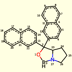 B1OC(c2ccc3ccccc3c2)(c2ccc3ccccc3c2)C2CCCN12